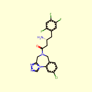 N[C@@H](CC(=O)N1Cc2ccc(Cl)cc2-n2cnnc2C1)Cc1cc(F)c(F)cc1F